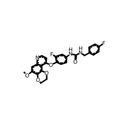 COc1cc2nccc(Oc3ccc(NC(=O)NCc4ccc(F)cc4)cc3F)c2c2c1OCCO2